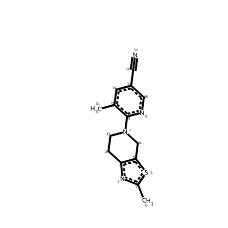 Cc1nc2c(s1)CN(c1ncc(C#N)cc1C)CC2